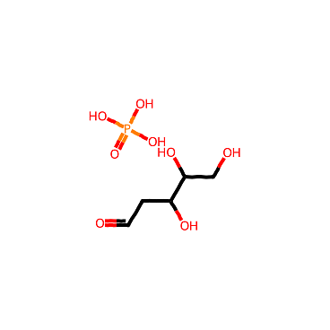 O=CCC(O)C(O)CO.O=P(O)(O)O